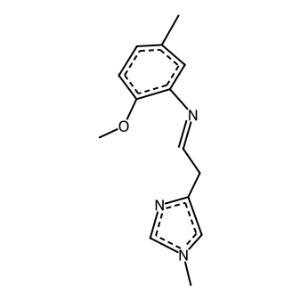 COc1ccc(C)cc1N=CCc1cn(C)cn1